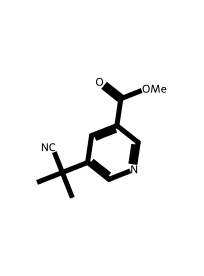 COC(=O)c1cncc(C(C)(C)C#N)c1